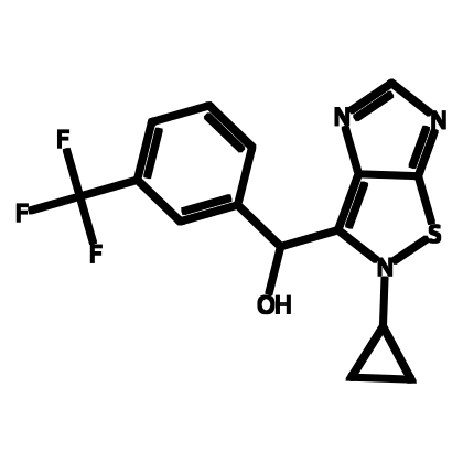 OC(c1cccc(C(F)(F)F)c1)c1c2ncnc-2sn1C1CC1